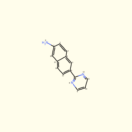 Nc1ccc2cc(-c3ncccn3)ccc2c1